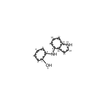 Oc1ccccc1Nc1cccc2[nH]ccc12